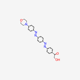 O=C(CO)c1ccc(N=Nc2ccc(N=Nc3ccc(N4CCOCC4)cc3)cc2)cc1